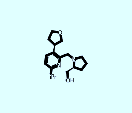 CC(C)c1ccc([C@H]2CCOC2)c(CN2CCC[C@H]2CO)n1